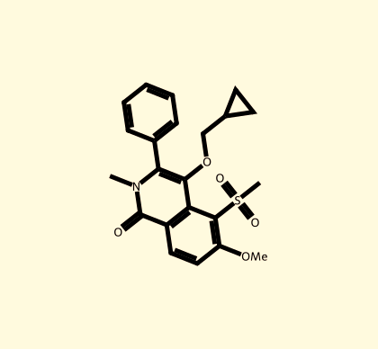 COc1ccc2c(=O)n(C)c(-c3ccccc3)c(OCC3CC3)c2c1S(C)(=O)=O